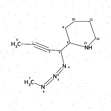 CC#CC(N=[N+]=NC)C1CCCCN1